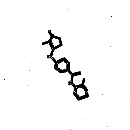 CC1=C(Nc2ccc(C(=O)Nc3ccccc3C)cc2)CCC1=O